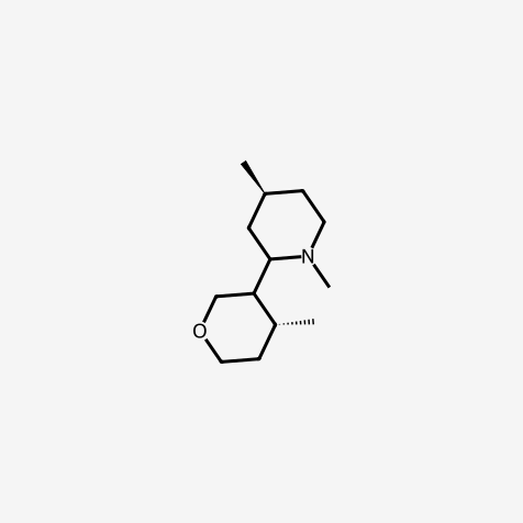 C[C@H]1CCN(C)C(C2COCC[C@H]2C)C1